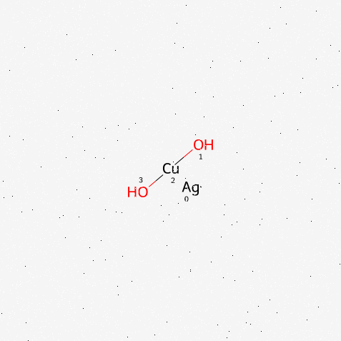 [Ag].[OH][Cu][OH]